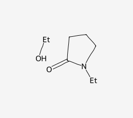 CCN1CCCC1=O.CCO